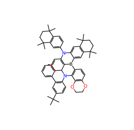 CC1=CC2=C3B(c4cc5c(cc4N2c2ccc4c(c2)C(C)(C)CCC4(C)C)C(C)(C)CCC5(C)C)c2ccc4c(c2N(c2ccc(C(C)(C)C)cc2-c2ccccc2)C3C1)OCCO4